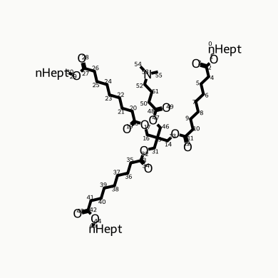 CCCCCCCOC(=O)CCCCCCCC(=O)OCC(COC(=O)CCCCCCCC(=O)OCCCCCCC)(COC(=O)CCCCCCCC(=O)OCCCCCCC)COC(=O)CCCN(C)C